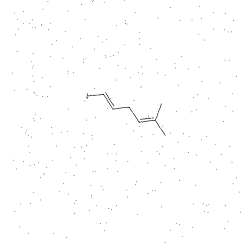 CC(C)=CCC=CI